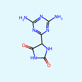 Nc1nc(N)nc(C2NC(=O)NC2=O)n1